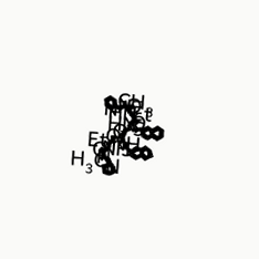 CC[C@H](NC(=O)N(C)Cc1ccccn1)C(=O)N[C@H](CSc1ccc2ccccc2c1)[C@@H]1O[C@@H]1[C@@H](CSc1ccc2ccccc2c1)NC(=O)[C@H](CC)NC(=O)N(C)Cc1ccccn1